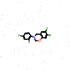 Fc1ccc(N2COc3cc(F)c(F)cc3C2)c(F)c1